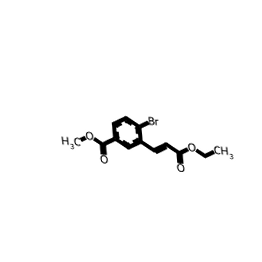 CCOC(=O)/C=C/c1cc(C(=O)OC)ccc1Br